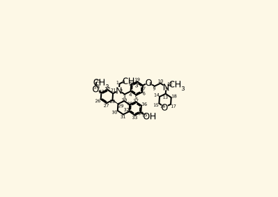 CCN(Cc1ccc(OCCN(C)C2CCOCC2)cc1)C1C=C(OC)C=CC1[C@@H]1CCc2cc(O)ccc2C1